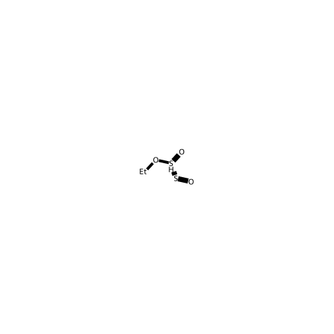 CCO[SH](=O)=S=O